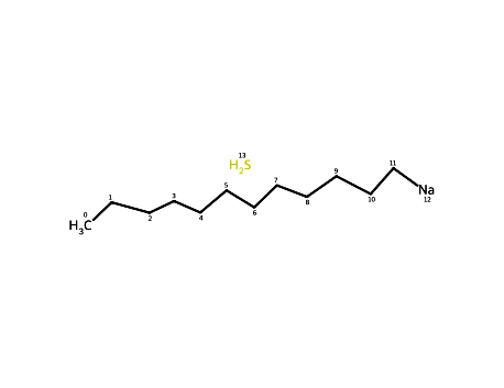 CCCCCCCCCCC[CH2][Na].S